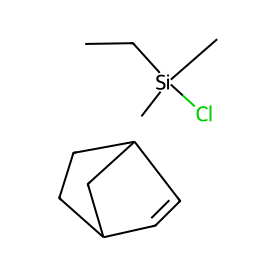 C1=CC2CCC1C2.CC[Si](C)(C)Cl